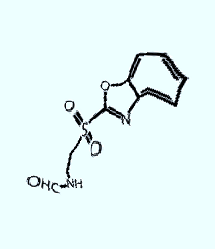 O=CNCS(=O)(=O)c1nc2ccccc2o1